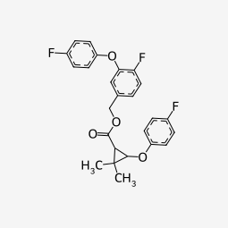 CC1(C)C(Oc2ccc(F)cc2)C1C(=O)OCc1ccc(F)c(Oc2ccc(F)cc2)c1